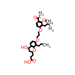 CCCc1c(OCCCOc2ccc3c(c2CCC)OC(CCC(=O)O)CC3O)ccc(C(C)=O)c1OC